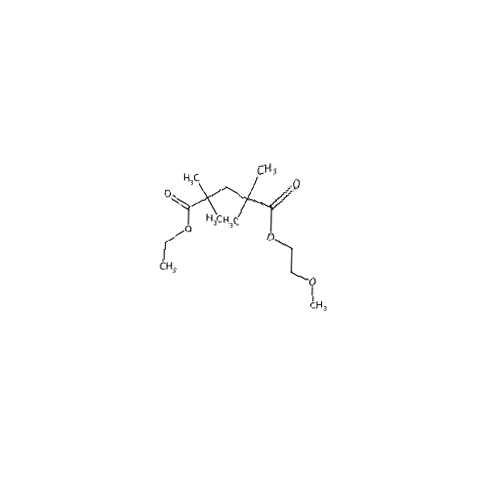 CCOC(=O)C(C)(C)CC(C)(C)C(=O)OCCOC